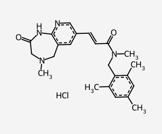 Cc1cc(C)c(CN(C)C(=O)C=Cc2cnc3c(c2)CN(C)CC(=O)N3)c(C)c1.Cl